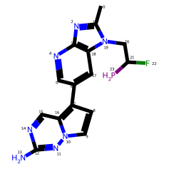 Cc1nc2ncc(-c3ccn4nc(N)ncc34)cc2n1CC(F)P